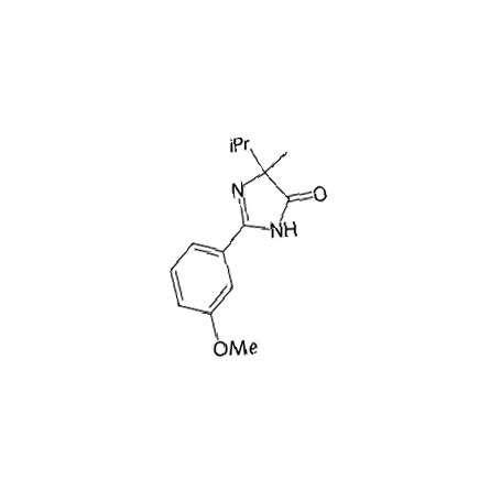 COc1cccc(C2=NC(C)(C(C)C)C(=O)N2)c1